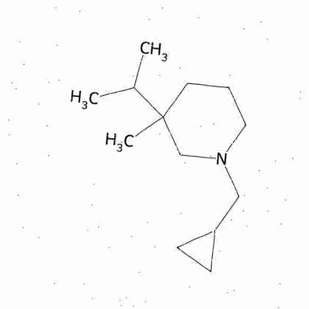 CC(C)C1(C)CCCN(CC2CC2)C1